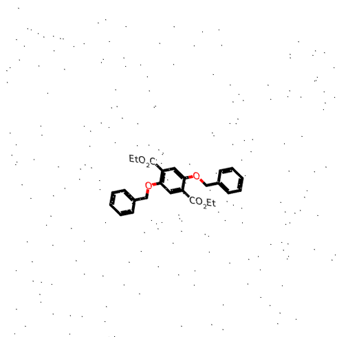 CCOC(=O)c1cc(OCc2ccccc2)c(C(=O)OCC)cc1OCc1ccccc1